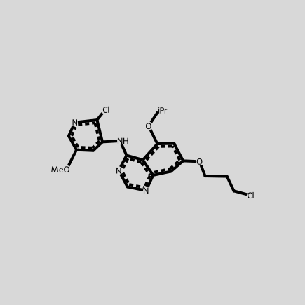 COc1cnc(Cl)c(Nc2ncnc3cc(OCCCCl)cc(OC(C)C)c23)c1